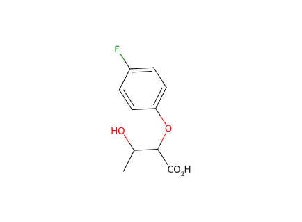 CC(O)C(Oc1ccc(F)cc1)C(=O)O